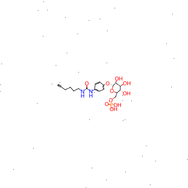 C#CCCCCNC(=O)Nc1ccc(O[C@H]2O[C@H](COP(=O)(O)O)[C@@H](O)[C@H](O)[C@@H]2O)cc1